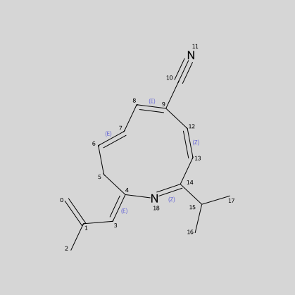 C=C(C)/C=C1C/C=C/C=C(C#N)\C=C/C(C(C)C)=N\1